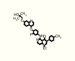 CCn1cc(-c2ccc(C)cc2)c(=O)c2c(Nc3ccc(Oc4ccnc5cc(OCC(C)(C)O)ccc45)c(F)c3)nccc21